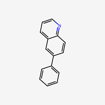 [c]1cccc(-c2ccc3ncccc3c2)c1